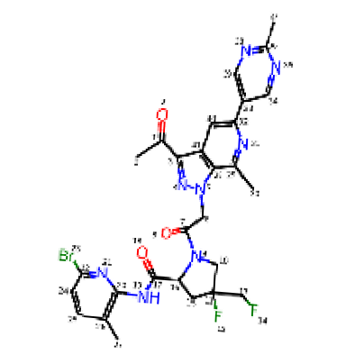 CC(=O)c1nn(CC(=O)N2CC(F)(CF)C[C@H]2C(=O)Nc2nc(Br)ccc2C)c2c(C)nc(-c3cnc(C)nc3)cc12